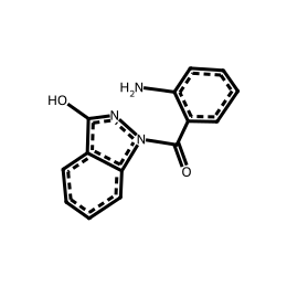 Nc1ccccc1C(=O)n1nc(O)c2ccccc21